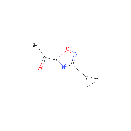 CC(C)C(=O)c1nc(C2CC2)no1